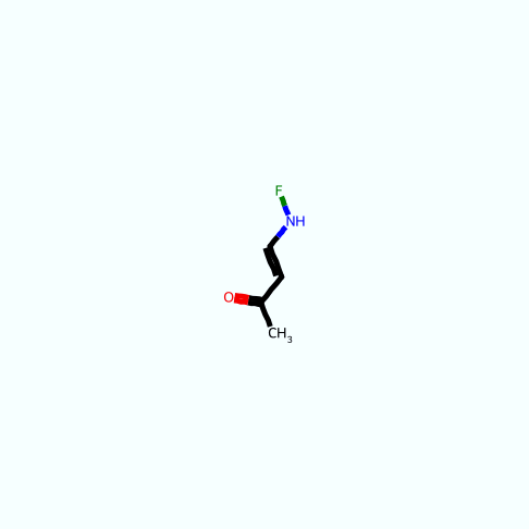 CC(=O)C=CNF